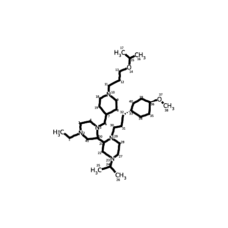 CCN1CCN(CC2CCN(CCCOC(C)C)CC2)C(C2CN(C(C)C)CCN2CCC[C@H]2CC[C@H](OC)CC2)C1